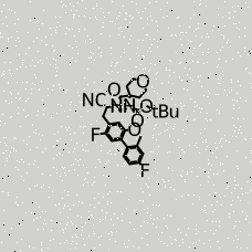 CC(C)(C)OC(=O)NC1(C(=O)NC(C#N)Cc2cc3c(cc2F)-c2ccc(F)cc2CO3)CCOCC1